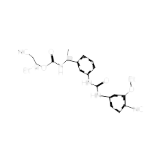 [C-]#[N+]c1ccc(NC(=O)Nc2cccc([C@H](C)NC(=O)O[C@H](CC)CC#N)c2)cc1OCC